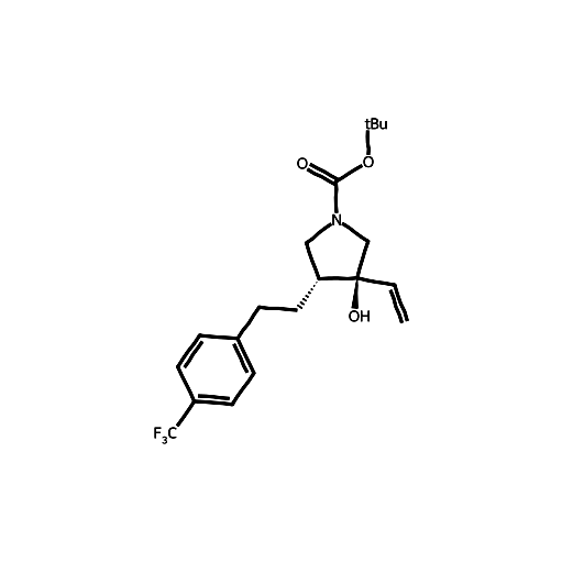 C=C[C@@]1(O)CN(C(=O)OC(C)(C)C)C[C@H]1CCc1ccc(C(F)(F)F)cc1